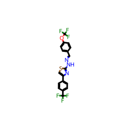 FC(F)(F)Oc1ccc(C=NNc2nc(-c3ccc(C(F)(F)F)cc3)cs2)cc1